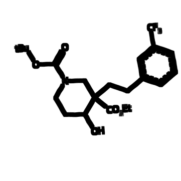 CCOC(=O)C1(CCc2cccc(C(F)(F)F)c2)CN(C(=O)OC(C)(C)C)CCC1O